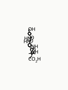 Cc1[nH]c(/C=C2\C(=O)Nc3cc(NC(=O)NC(=O)c4ccc(CO)cc4)ccc32)c(C)c1CCC(=O)O